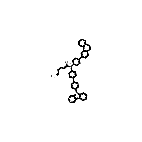 C=C/C=C\C=C(/C)N(c1ccc(-c2ccc(-n3c4ccccc4c4ccccc43)cc2)cc1)c1ccc(-c2ccc3ccc4ccccc4c3c2)cc1